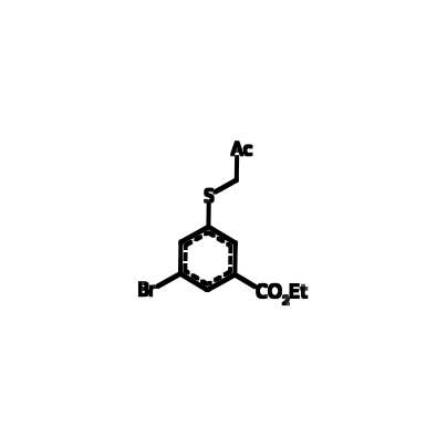 CCOC(=O)c1cc(Br)cc(SCC(C)=O)c1